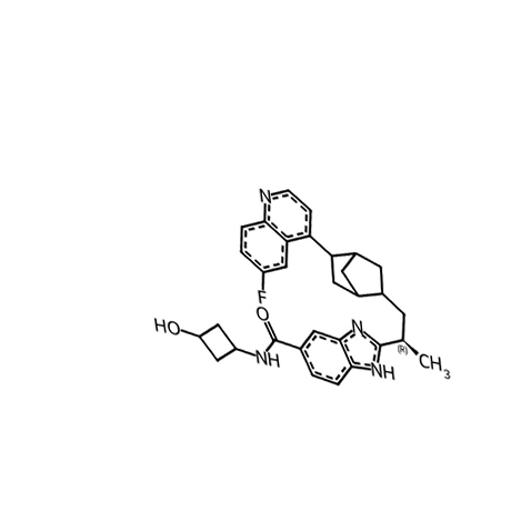 C[C@H](CC1CC2CC1CC2c1ccnc2ccc(F)cc12)c1nc2cc(C(=O)NC3CC(O)C3)ccc2[nH]1